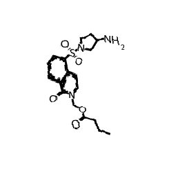 CCCC(=O)OCn1ccc2c(S(=O)(=O)N3CCC(N)C3)cccc2c1=O